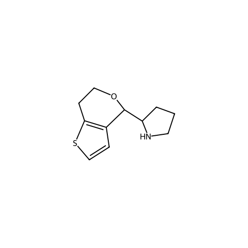 c1cc2c(s1)CCOC2C1CCCN1